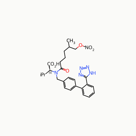 CC(CCCC(=O)N(Cc1ccc(-c2ccccc2-c2nnn[nH]2)cc1)[C@H](C(=O)O)C(C)C)CO[N+](=O)[O-]